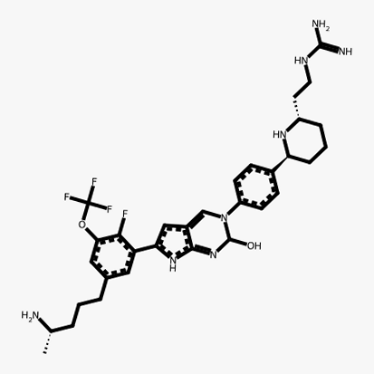 C[C@H](N)CCCc1cc(OC(F)(F)F)c(F)c(-c2cc3c([nH]2)=NC(O)N(c2ccc([C@@H]4CCC[C@@H](CCNC(=N)N)N4)cc2)C=3)c1